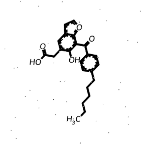 CCCCCCc1ccc(C(=O)c2c(O)c(CC(=O)O)cc3ccoc23)cc1